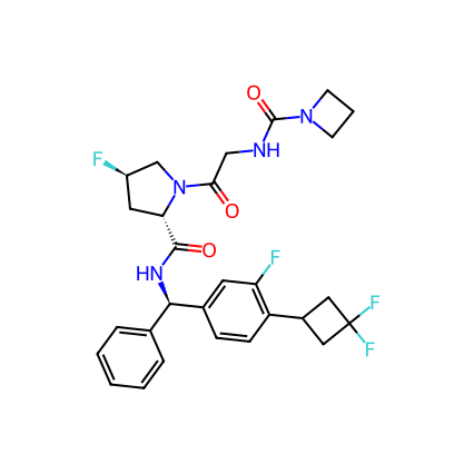 O=C(N[C@H](c1ccccc1)c1ccc(C2CC(F)(F)C2)c(F)c1)[C@@H]1C[C@@H](F)CN1C(=O)CNC(=O)N1CCC1